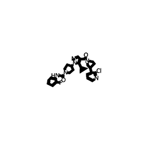 O=C(Nc1ccccc1F)N1CCC(n2ncc(C(=O)N3CCC(c4cccnc4Cl)C3)c2C2CC2)CC1